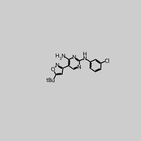 CC(C)(C)c1cc(-c2cnc(Nc3cccc(Cl)c3)nc2N)no1